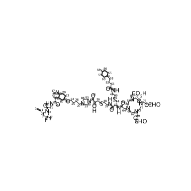 C#C[C@H]1CC(F)(F)CN1C(=O)CNC(=O)c1ccnc2ccc(OCCCCN3CCN(C(=O)[C@H](O)CSCCNC(=O)[C@H](CSCCNC(=O)CCCc4ccc(C)cc4)NC(=O)CN4CCN(COC=O)CCN(COC=O)CCN(CC(=O)O)CC4)CC3)cc12